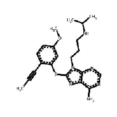 CC#Cc1ccc(OC)cc1Sc1nc2c(N)ncnc2n1CCCNC(C)C